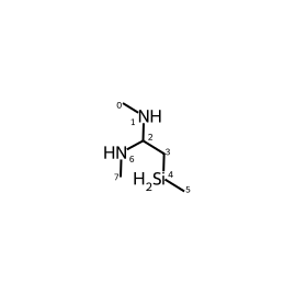 CNC(C[SiH2]C)NC